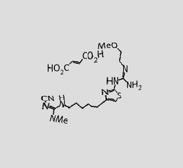 CN/C(=N/C#N)NCCCCCc1csc(N/C(N)=N\CCOC)n1.O=C(O)/C=C/C(=O)O